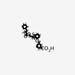 CN(Cc1ccccc1)C(=O)OCc1nc2c(OCC3CCC[C@H](C(=O)O)C3)cccc2s1